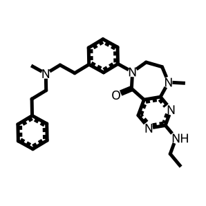 CCNc1ncc2c(n1)N(C)CCN(c1cccc(CCN(C)CCc3ccccc3)c1)C2=O